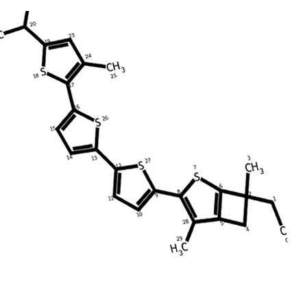 CCC1(C)Cc2c1sc(-c1ccc(-c3ccc(-c4sc(C(C)C)cc4C)s3)s1)c2C